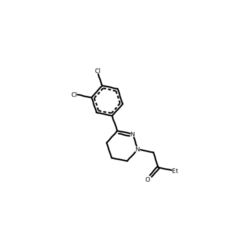 CCC(=O)CN1CCCC(c2ccc(Cl)c(Cl)c2)=N1